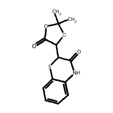 CC1(C)OC(=O)C(C2Sc3ccccc3NC2=O)O1